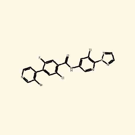 O=C(Nc1cnc(-n2nccn2)c(Cl)c1)c1cc(F)c(-c2ccncc2Br)cc1Cl